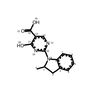 CC1Cc2ccccc2N1c1ncc(C(=O)O)c(O)n1